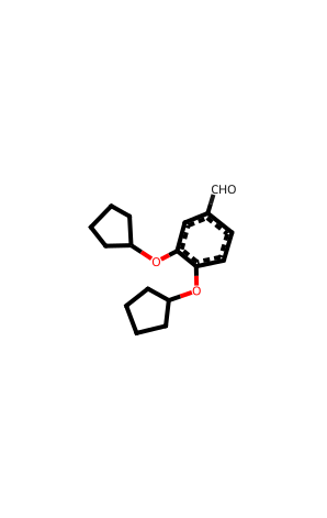 O=Cc1ccc(OC2CCCC2)c(OC2CCCC2)c1